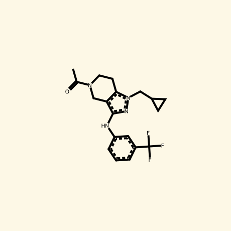 CC(=O)N1CCc2c(c(Nc3cccc(C(F)(F)F)c3)nn2CC2CC2)C1